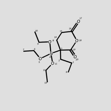 CCCC1([Si](OCC)(OCC)OCC)CCC(=O)OC1=O